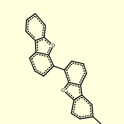 Cc1ccc2oc3c(-c4cccc5c4oc4ccccc45)cccc3c2c1